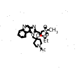 CCOCCc1nc2cnc3ccccc3c2n1CC1(OCCS(C)(=O)=O)CCN(C(C)=O)CC1